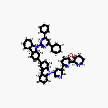 c1ccc(-c2cc(-c3ccccc3)nc(-n3c4ccccc4c4ccc(-c5ccc6c(c5)c5ccccc5n6-c5cncc(-c6ccc7oc8cccnc8c7n6)c5)cc43)n2)cc1